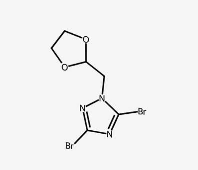 Brc1nc(Br)n(CC2OCCO2)n1